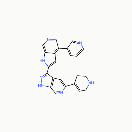 C1=C(c2cc3c(-c4cc5c(-c6cccnc6)cncc5[nH]4)n[nH]c3cn2)CCNC1